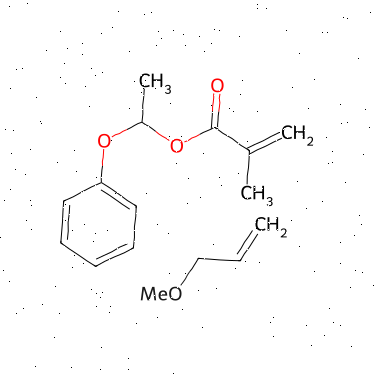 C=C(C)C(=O)OC(C)Oc1ccccc1.C=CCOC